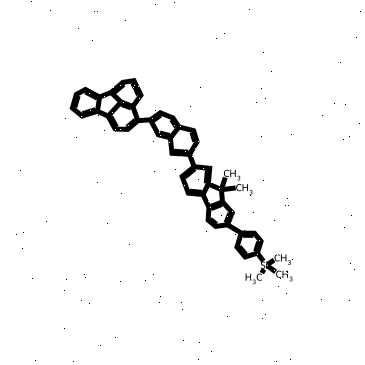 CC1(C)c2cc(-c3ccc([Si](C)(C)C)cc3)ccc2-c2ccc(-c3ccc4ccc(-c5ccc6c7c(cccc57)-c5ccccc5-6)cc4c3)cc21